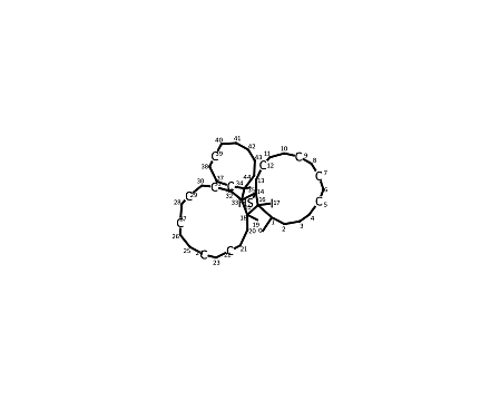 CC1CCCCCCCCCCCCC2(S)C1(I)C1(C)CCCCCCCCCCCCCC12C1(C)CCCCCCCCC1